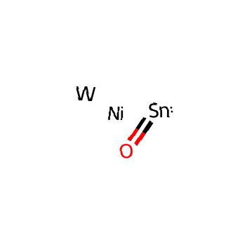 [Ni].[O]=[Sn].[W]